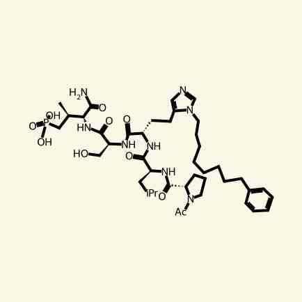 CC(=O)N1CCC[C@H]1C(=O)N[C@@H](CC(C)C)C(=O)N[C@@H](CCc1cncn1CCCCCCCCc1ccccc1)C(=O)N[C@@H](CO)C(=O)N[C@@H](C(N)=O)[C@H](C)CP(=O)(O)O